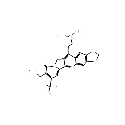 COCc1c([C@](C)(O)C=O)cc2n(c1=O)Cc1c-2nc2cc3c(cc2c1CCN(C)C)OCO3